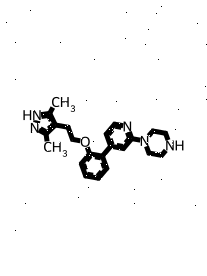 Cc1n[nH]c(C)c1CCOc1ccccc1-c1ccnc(N2CCNCC2)c1